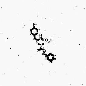 CN(C[C@H](CC1CCC(F)CC1)NC(=O)O)C(=O)OCc1ccccc1